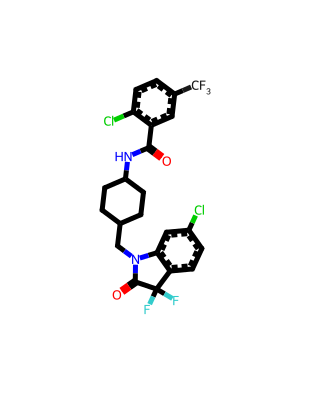 O=C(NC1CCC(CN2C(=O)C(F)(F)c3ccc(Cl)cc32)CC1)c1cc(C(F)(F)F)ccc1Cl